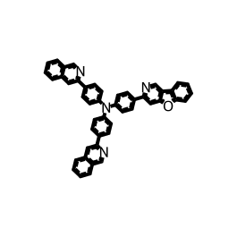 c1ccc2cc(-c3ccc(N(c4ccc(-c5cc6ccccc6cn5)cc4)c4ccc(-c5cc6oc7ccccc7c6cn5)cc4)cc3)ncc2c1